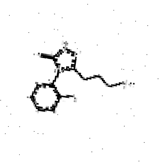 CCCCCCCCCCCCCc1n[nH]c(=S)n1-c1ccccc1Cl